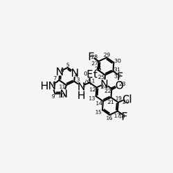 CC[C@H](Nc1ncnc2[nH]cnc12)c1cc2ccc(F)c(Cl)c2c(=O)n1-c1cc(F)ccc1F